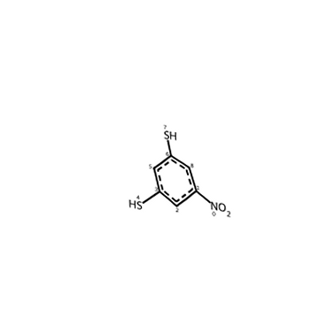 O=[N+]([O-])c1cc(S)cc(S)c1